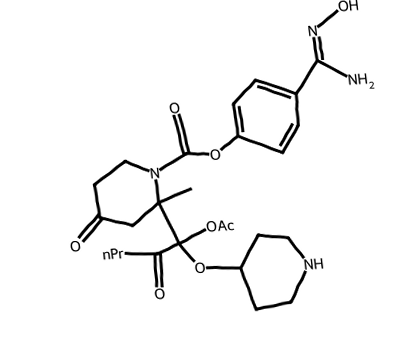 CCCC(=O)C(OC(C)=O)(OC1CCNCC1)C1(C)CC(=O)CCN1C(=O)Oc1ccc(C(N)=NO)cc1